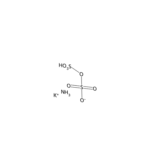 N.O=S(=O)([O-])OS(=O)(=O)O.[K+]